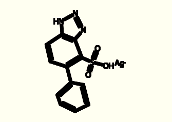 O=S(=O)(O)c1c(-c2ccccc2)ccc2[nH]nnc12.[Ag]